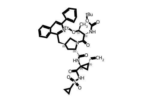 C=C[C@@H]1C[C@]1(NC(=O)[C@@H]1C[C@@H](Cc2nc(-c3ccccc3)cc3ccccc23)CN1C(=O)[C@@H](NC(=O)OC(C)(C)C)[C@H](C)OCC)C(=O)NS(=O)(=O)C1CC1